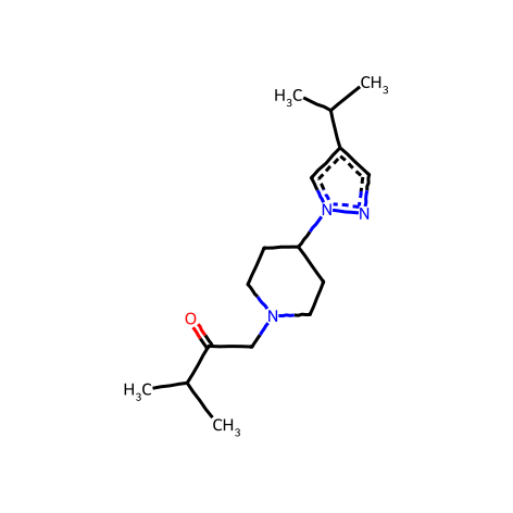 CC(C)C(=O)CN1CCC(n2cc(C(C)C)cn2)CC1